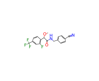 COC(C(=O)NCc1ccc(C#N)cc1)c1ccc(C(F)(F)F)cc1F